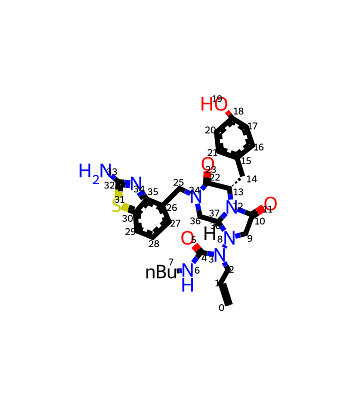 C=CCN(C(=O)NCCCC)N1CC(=O)N2[C@@H](Cc3ccc(O)cc3)C(=O)N(Cc3cccc4sc(N)nc34)C[C@@H]21